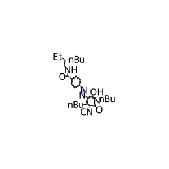 CCCCc1c(/N=N/c2ccc(C(=O)NCC(CC)CCCC)cc2)c(O)n(CCCC)c(=O)c1C#N